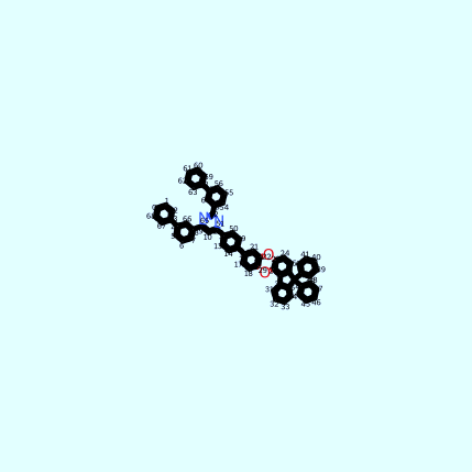 c1ccc(-c2cccc(-c3cc(-c4ccc(-c5ccc6c(c5)Oc5ccc7c(c5O6)-c5ccccc5C7(c5ccccc5)c5ccccc5)cc4)nc(-c4cccc(-c5ccccc5)c4)n3)c2)cc1